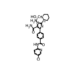 NC(=O)c1c(-c2ccc(C(=O)Nc3ccc(Cl)cn3)cc2)nc([C@@H]2CCCCN2C(=O)O)n1N